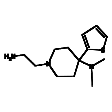 CN(C)C1(c2cccs2)CCN(CCN)CC1